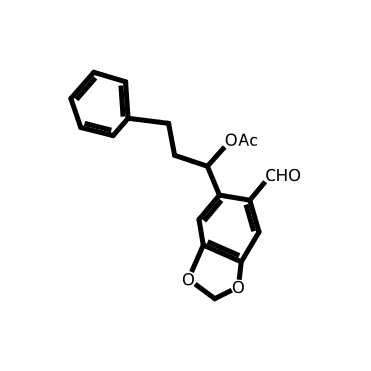 CC(=O)OC(CCc1ccccc1)c1cc2c(cc1C=O)OCO2